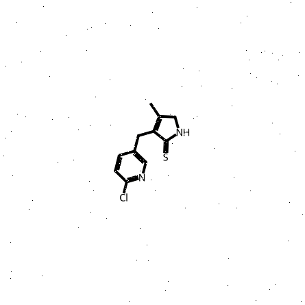 CC1=C(Cc2ccc(Cl)nc2)C(=S)NC1